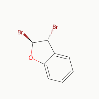 Br[C@@H]1Oc2ccccc2[C@H]1Br